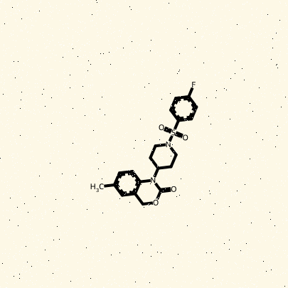 Cc1ccc2c(c1)COC(=O)N2C1CCN(S(=O)(=O)c2ccc(F)cc2)CC1